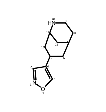 c1nocc1C1CC2CCNC(C2)C1